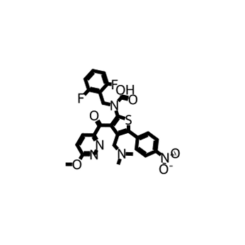 COc1ccc(C(=O)c2c(N(Cc3c(F)cccc3F)C(=O)O)sc(-c3ccc([N+](=O)[O-])cc3)c2CN(C)C)nn1